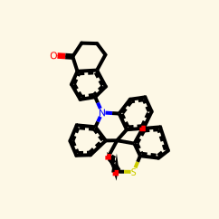 O=C1CCCc2cc(N3c4ccccc4C4(c5ccccc5Sc5ccccc54)c4ccccc43)ccc21